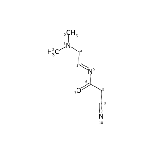 CN(C)CC=NC(=O)CC#N